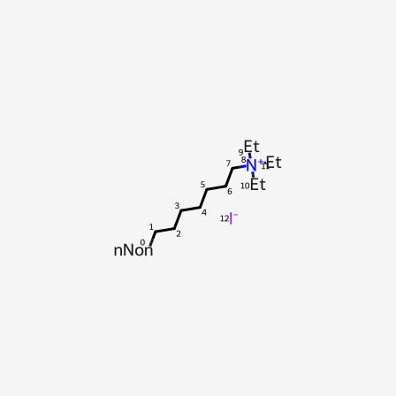 CCCCCCCCCCCCCCCC[N+](CC)(CC)CC.[I-]